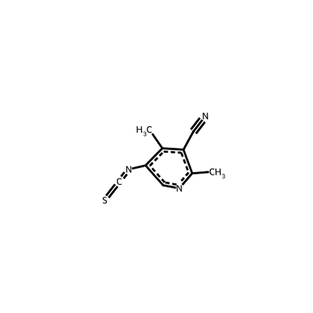 Cc1ncc(N=C=S)c(C)c1C#N